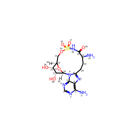 Nc1ncnc2c1nc1n2[C@@H]2O[C@H](COS(=O)(=O)NC(=O)[C@@H](N)CC1)[C@@H](O)[C@H]2O